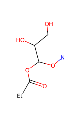 CCC(=O)OC(O[N])C(O)CO